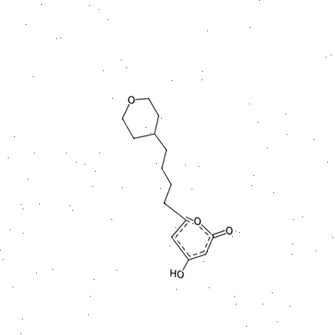 O=c1cc(O)cc(CCCCC2CCOCC2)o1